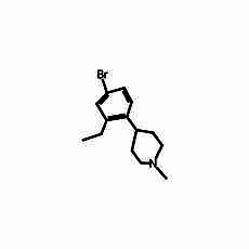 CCc1cc(Br)ccc1C1CCN(C)CC1